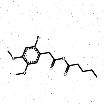 [CH2]CCCC(=O)OC(=O)Cc1cc(OC)c(OC)cc1Br